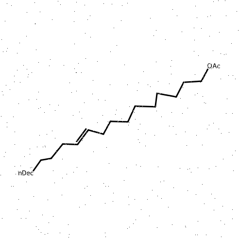 CCCCCCCCCCCCCC=CCCCCCCCCCOC(C)=O